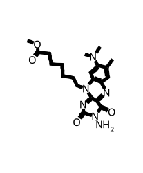 COC(=O)CCCCCCn1c2nc(=O)n(N)c(=O)c-2nc2cc(C)c(N(C)C)cc21